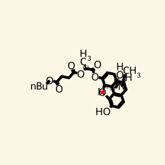 CCCCOC(=O)CCC(=O)O[C@@H](C)C(=O)OC1=CC[C@@]2(O)[C@H]3Cc4ccc(O)c5c4[C@@]2(CCN3C)[C@H]1O5